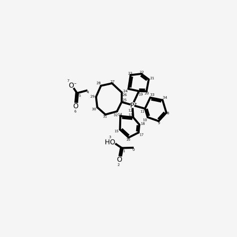 CC(=O)O.CC(=O)[O-].c1ccc([P+](c2ccccc2)(c2ccccc2)C2CCCCCCC2)cc1